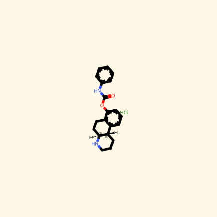 Cl.O=C(Nc1ccccc1)Oc1cccc2c1CC[C@@H]1NCCC[C@@H]21